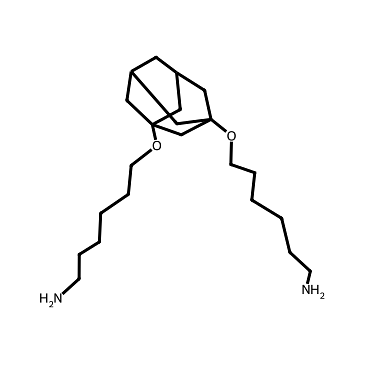 NCCCCCCOC12CC3CC(C1)CC(OCCCCCCN)(C3)C2